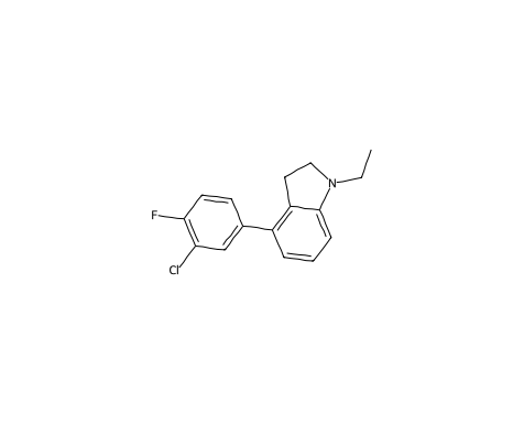 CCN1CCc2c(-c3ccc(F)c(Cl)c3)cccc21